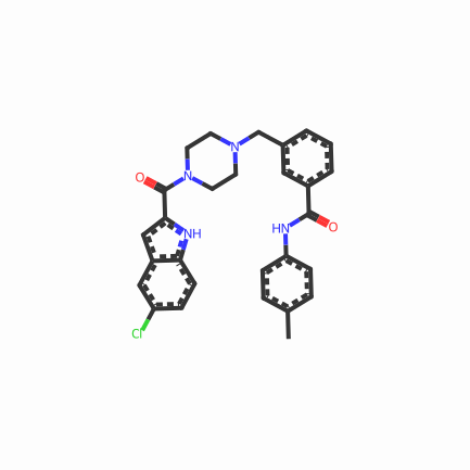 Cc1ccc(NC(=O)c2cccc(CN3CCN(C(=O)c4cc5cc(Cl)ccc5[nH]4)CC3)c2)cc1